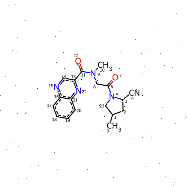 CC1CC(C#N)N(C(=O)CN(C)C(=O)c2cnc3ccccc3n2)C1